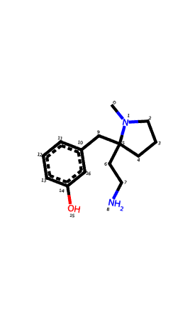 CN1CCCC1(CCN)Cc1cccc(O)c1